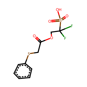 O=C(CSc1ccccc1)OCC(F)(F)S(=O)(=O)O